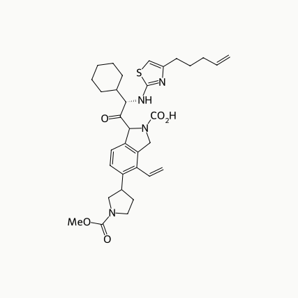 C=CCCCc1csc(N[C@H](C(=O)C2c3ccc(C4CCN(C(=O)OC)C4)c(C=C)c3CN2C(=O)O)C2CCCCC2)n1